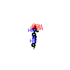 CCc1c(-c2ccc3c(c2)cc(CNCc2cccc(F)c2)n3C)[nH]c(=O)c(C(=O)O)c1O